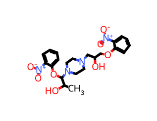 CC(O)C(Oc1ccccc1[N+](=O)[O-])N1CCN(CC(O)COc2ccccc2[N+](=O)[O-])CC1